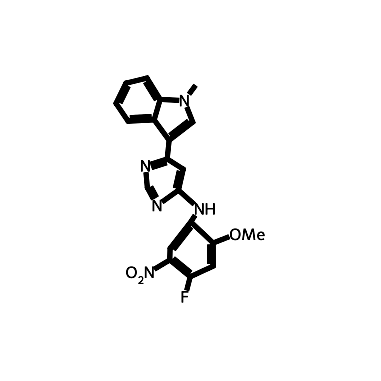 COc1cc(F)c([N+](=O)[O-])cc1Nc1cc(-c2cn(C)c3ccccc23)ncn1